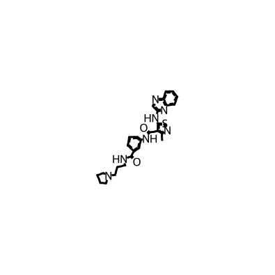 Cc1nsc(Nc2cnc3ccccc3n2)c1C(=O)Nc1cccc(C(=O)NCCCN2CCCC2)c1